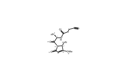 C#CCCC(=O)N[C@H](CCC)C(=O)N1C(=O)C=C(OC)[C@@H]1CCC